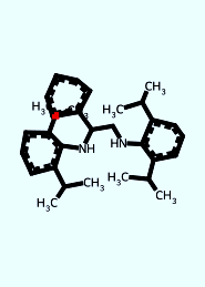 CC(C)c1cccc(C(C)C)c1NCC(Nc1c(C(C)C)cccc1C(C)C)c1ccccc1